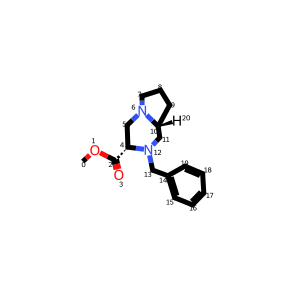 COC(=O)[C@@H]1CN2CCC[C@@H]2CN1Cc1ccccc1